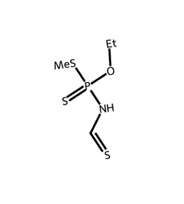 CCOP(=S)(NC=S)SC